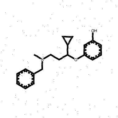 CN(CCC(Oc1cccc(O)c1)C1CC1)Cc1ccccc1